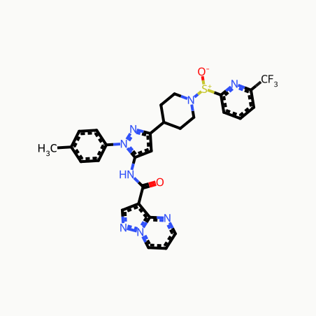 Cc1ccc(-n2nc(C3CCN([S+]([O-])c4cccc(C(F)(F)F)n4)CC3)cc2NC(=O)c2cnn3cccnc23)cc1